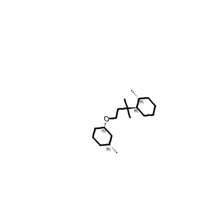 C[C@@H]1CCC[C@H](OCCC(C)(C)[C@@H]2CCCC[C@H]2C)C1